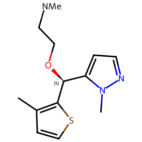 CNCCO[C@H](c1sccc1C)c1ccnn1C